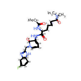 COC(=O)NC(CC/C=C/C(=O)N(C)C)C(=O)Nc1cccn(Cc2nc3cc(F)ccc3[nH]2)c1=O